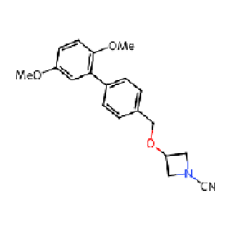 COc1ccc(OC)c(-c2ccc(COC3CN(C#N)C3)cc2)c1